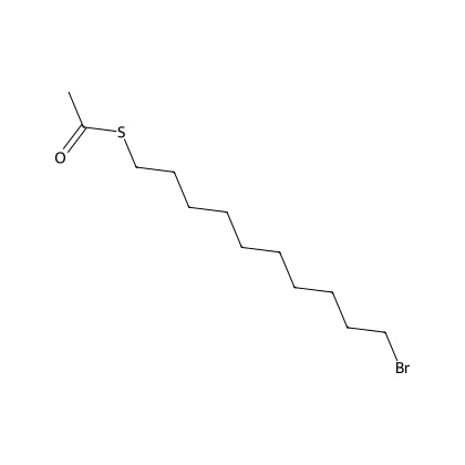 CC(=O)SCCCCCCCCCCBr